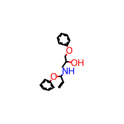 C=CC(NCC(O)COc1ccccc1)Oc1ccccc1